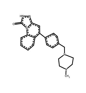 CN1CCN(Cc2ccc(-c3cc4n[nH]c(=O)n4c4ccccc34)cc2)CC1